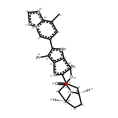 Cc1cc(-c2[nH]c3cc(C4C[C@H]5CC[C@@H](C4)N5C(=O)OC(C)(C)C)sc3c2C(C)C)cn2ncnc12